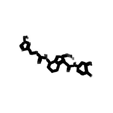 Cn1cnc(COC(=O)NC2CCCc3c2cn(C)c3C(=O)Nc2ccc(F)c(Cl)c2)n1